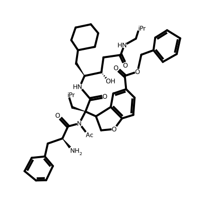 CC(=O)N(C(=O)[C@@H](N)Cc1ccccc1)[C@](CC(C)C)(C(=O)N[C@@H](CC1CCCCC1)[C@@H](O)CC(=O)NCC(C)C)C1COc2ccc(C(=O)OCc3ccccc3)cc21